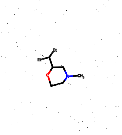 CCC(CC)C1CN(C)CCO1